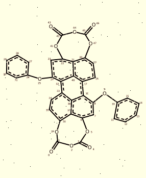 O=C1OC(=O)Oc2cc(Oc3ccccc3)c3c4ccc5c6c(cc(Oc7ccccc7)c(c7ccc(c2c73)O1)c64)OC(=O)OC(=O)O5